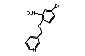 O=[N+]([O-])c1cc(Br)ccc1OCc1cccnc1